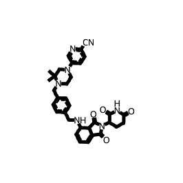 CC1(C)CN(c2ccc(C#N)nc2)CCN1Cc1ccc(CNC2C=CC=C3C(=O)N(C4CCC(=O)NC4=O)C(=O)C32)cc1